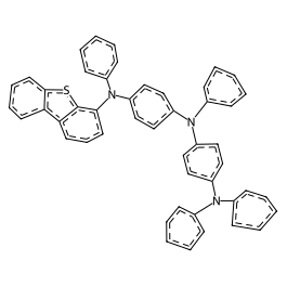 c1ccc(N(c2ccccc2)c2ccc(N(c3ccccc3)c3ccc(N(c4ccccc4)c4cccc5c4sc4ccccc45)cc3)cc2)cc1